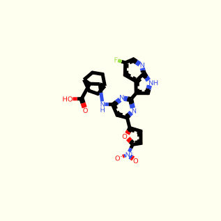 O=C(O)C1C2CCC(CC2)C1Nc1cc(-c2ccc([N+](=O)[O-])o2)nc(-c2c[nH]c3ncc(F)cc23)n1